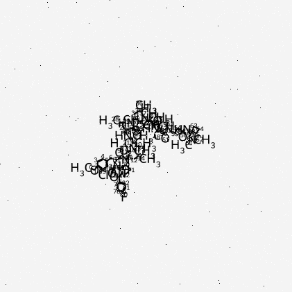 COc1ccc(C[C@@H](C(=O)N[C@@H](CC(C)C)C(=O)NC(C)(C)C(=O)N[C@@H](CC(C)C)C(=O)N[C@@H](CC(C)C)C(=O)NC(C)(C)C(=O)NC(C)(C)C(=O)NCCC(=O)NC2(CN(C)C)CCC2)N(C=O)[C@@H]2CCCN2C(=O)c2ccc(F)cc2)cc1Cl